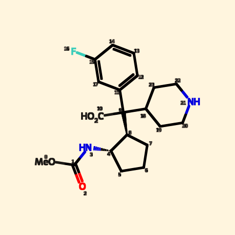 COC(=O)N[C@H]1CCC[C@@H]1C(C(=O)O)(c1cccc(F)c1)C1CCNCC1